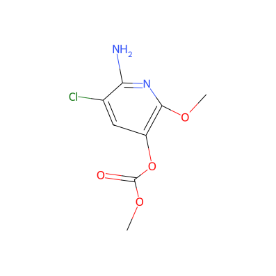 COC(=O)Oc1cc(Cl)c(N)nc1OC